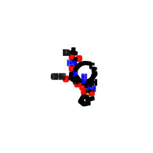 CCC(C)(C)OC(=O)N[C@H]1CCCCC/C=C\[C@@H]2C[C@@]2(C(=O)NS(=O)(=O)c2ccccc2C)NC(=O)[C@@H]2C[C@@H](OC=O)CN2C1=O